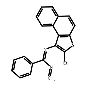 C=N/C(=N\c1c(CC)sc2ccc3ccccc3c12)c1ccccc1